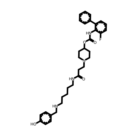 O=C(CCN1CCC(OC(=O)Nc2c(F)cccc2-c2ccccc2)CC1)NCCCCCNCc1ccc(O)cc1